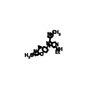 CCNc1cc2c(cn1)c(-c1cnn(C)c1)nn2[C@H]1CC[C@@H](Oc2cn(C)nc2C2CC2)CC1